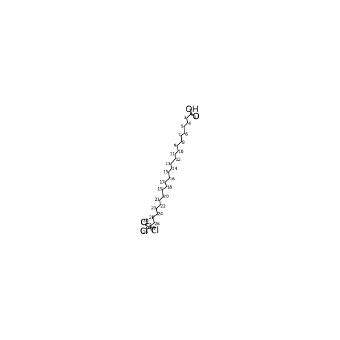 O=C(O)CCCCCCCCCCCCCCCCCCCCCCCC[Si](Cl)(Cl)Cl